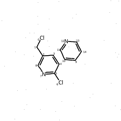 ClCc1ccc(Cl)nc1.c1ccncc1